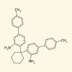 Cc1ccc(-c2ccc(C3(c4ccc(-c5ccc(C)cc5)cc4N)CCCCC3)c(N)c2)cc1